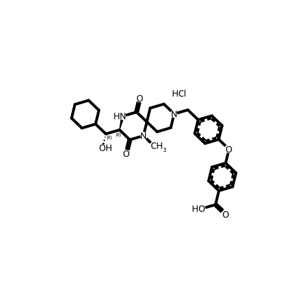 CN1C(=O)[C@@H]([C@H](O)C2CCCCC2)NC(=O)C12CCN(Cc1ccc(Oc3ccc(C(=O)O)cc3)cc1)CC2.Cl